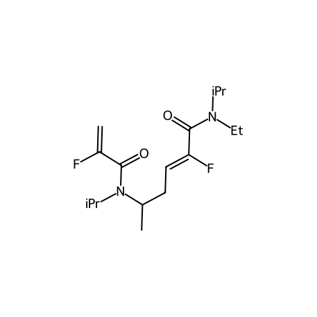 C=C(F)C(=O)N(C(C)C)C(C)C/C=C(\F)C(=O)N(CC)C(C)C